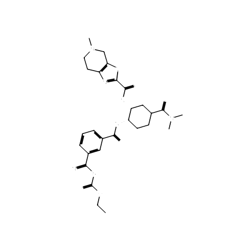 CCOC(=O)NC(=N)c1cccc(C(=O)N[C@H]2CCC(C(=O)N(C)C)C[C@H]2NC(=O)c2nc3c(s2)CN(C)CC3)c1